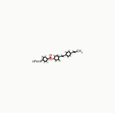 CC#Cc1ccc(C#Cc2ccc(OC(=O)c3ccc(CCCCC)cc3)cc2F)cc1